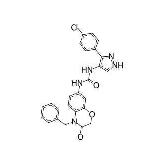 O=C(Nc1ccc2c(c1)OCC(=O)N2Cc1ccccc1)Nc1c[nH]nc1-c1ccc(Cl)cc1